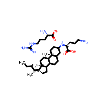 CCC[C@@H](C)[C@H]1CCC2C3CCC4CC(N[C@@H](CCCN)C(=O)O)CC[C@]4(C)C3CC[C@@]21C.N=C(N)NCCC[C@H](N)C(=O)O